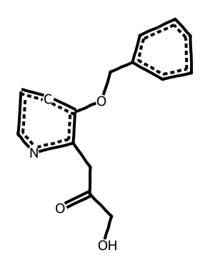 O=C(CO)Cc1ncccc1OCc1ccccc1